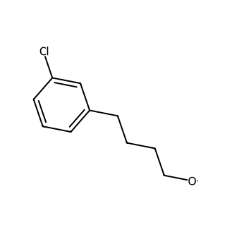 [O]CCCCc1cccc(Cl)c1